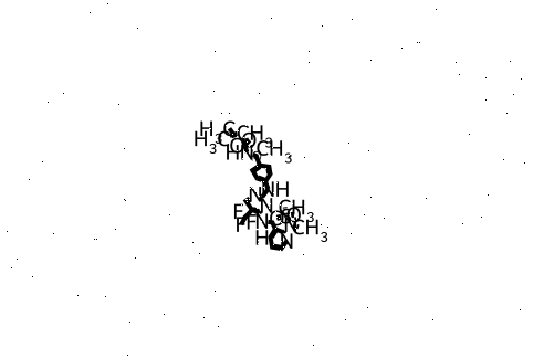 C[C@H](NC(=O)OC(C)(C)C)c1ccc(Nc2ncc(C(F)(F)F)c(NCc3cccnc3N(C)S(C)(=O)=O)n2)cc1